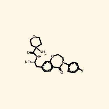 N#C[C@H](Cc1ccc2c(c1)OCCN(c1ccc(F)cc1)C2=O)NC(=O)C1(N)CCOCC1